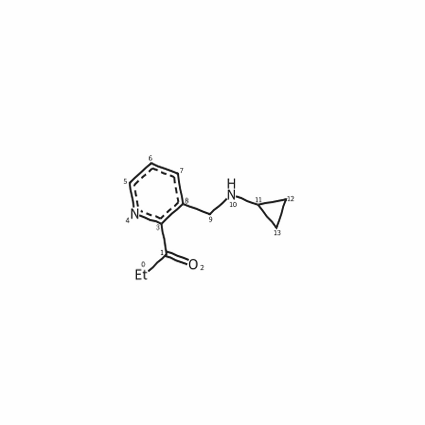 CCC(=O)c1ncccc1CNC1CC1